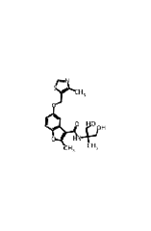 Cc1ncsc1COc1ccc2oc(C)c(C(=O)NC(C)(CO)CO)c2c1